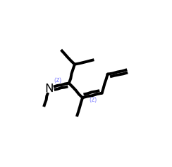 C=C/C=C(C)\C(=N/C)C(C)C